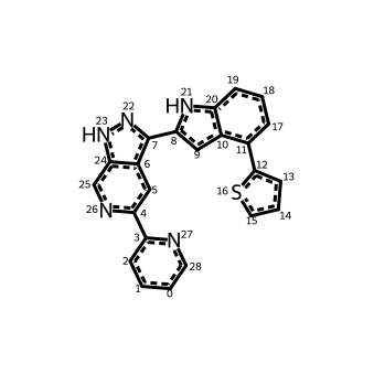 c1ccc(-c2cc3c(-c4cc5c(-c6cccs6)cccc5[nH]4)n[nH]c3cn2)nc1